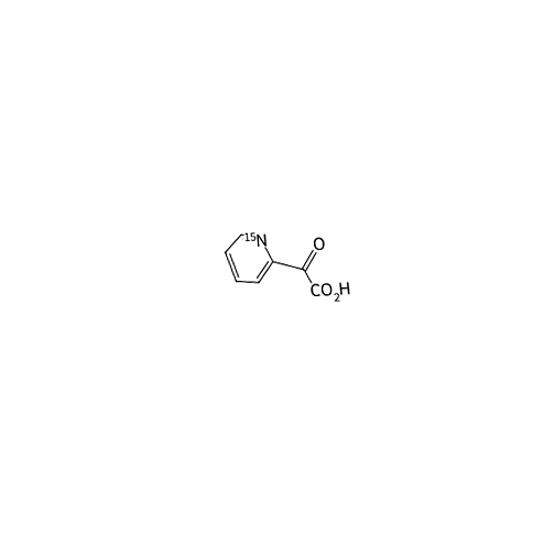 O=C(O)C(=O)c1cccc[15n]1